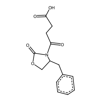 O=C(O)CCC(=O)N1C(=O)OCC1Cc1ccccc1